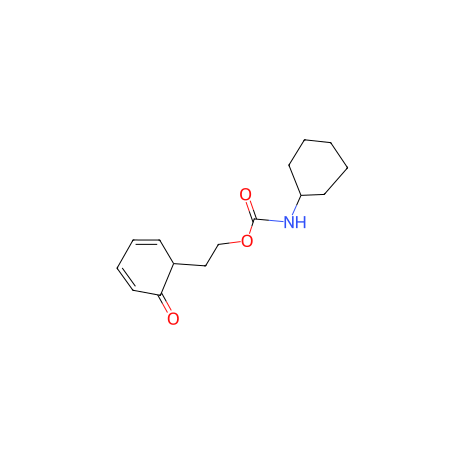 O=C(NC1CCCCC1)OCCC1C=CC=CC1=O